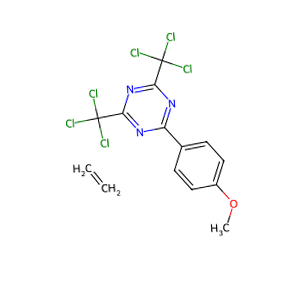 C=C.COc1ccc(-c2nc(C(Cl)(Cl)Cl)nc(C(Cl)(Cl)Cl)n2)cc1